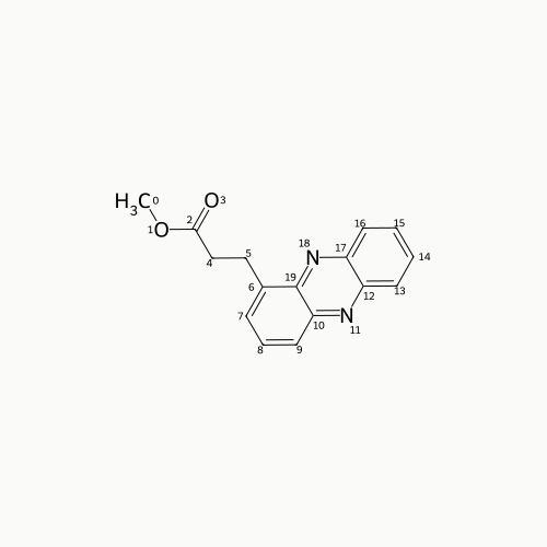 COC(=O)CCc1cccc2nc3ccccc3nc12